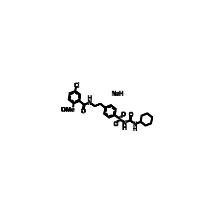 COc1ccc(Cl)cc1C(=O)NCCc1ccc(S(=O)(=O)NC(=O)NC2CCCCC2)cc1.[NaH]